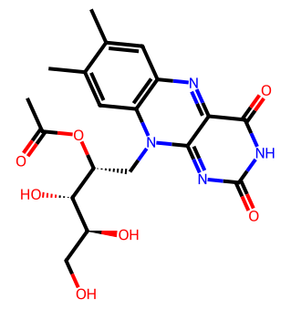 CC(=O)O[C@H](Cn1c2nc(=O)[nH]c(=O)c-2nc2cc(C)c(C)cc21)[C@@H](O)[C@@H](O)CO